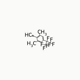 C#Cc1c(C)cc(C(F)(C(F)(F)F)C(F)(F)F)cc1C